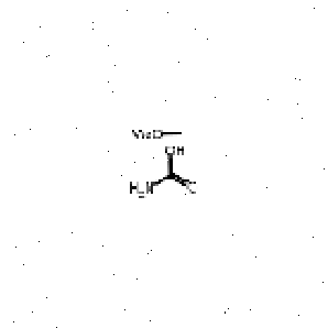 COC.NC(=O)O